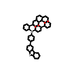 c1ccc(-c2ccc(N(c3ccc(-c4ccc5sc6ccccc6c5c4)cc3)c3ccccc3-c3ccc4c(ccc5ccccc54)c3)cc2)cc1